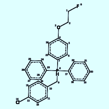 FCCOc1ccc([PH](Cc2ccc(Cl)cc2)(c2ccccc2)c2ccccc2)cc1